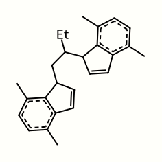 CCC(CC1C=Cc2c(C)ccc(C)c21)C1C=Cc2c(C)ccc(C)c21